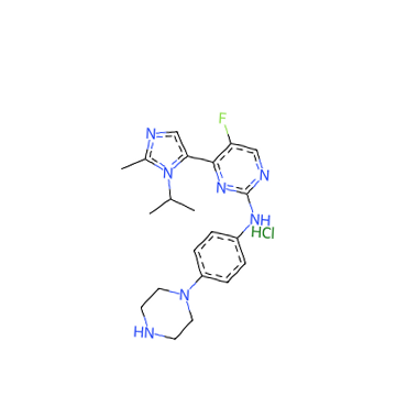 Cc1ncc(-c2nc(Nc3ccc(N4CCNCC4)cc3)ncc2F)n1C(C)C.Cl